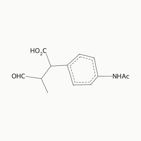 CC(=O)Nc1ccc(C(C(=O)O)C(C)C=O)cc1